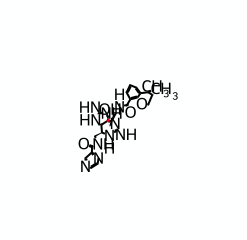 CC1(C)CCOc2c(C(=O)NC3CN4C(=N)N[C@@H](CNC(=O)c5cnccn5)C5NC(=N)NC54[C@@H]3O)cccc21